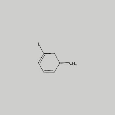 C=C1C=CC=C(I)C1